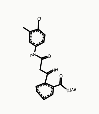 CNC(=O)c1ccccc1C(=N)CC(=O)Nc1ccc(Cl)c(C)c1